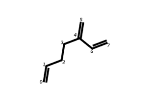 C=CCCC(=C)C=C